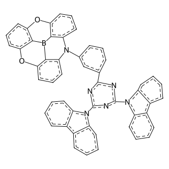 c1cc(-c2nc(-n3c4ccccc4c4ccccc43)nc(-n3c4ccccc4c4ccccc43)n2)cc(N2c3cccc4c3B3c5c(cccc5Oc5cccc2c53)O4)c1